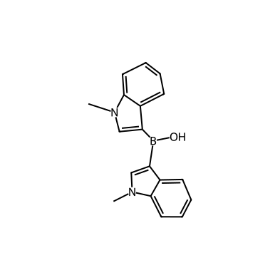 Cn1cc(B(O)c2cn(C)c3ccccc23)c2ccccc21